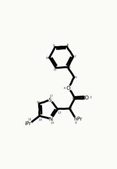 CCCC(C(=O)OCc1ccccc1)c1nc(C(C)C)cs1